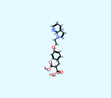 COC(=O)C(Cc1ccc(OCCn2ccc3cccnc32)cc1)C(=O)O